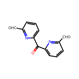 O=Cc1cccc(C(=O)c2cccc(C=O)n2)n1